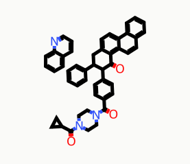 O=C1c2c(ccc3c2ccc2ccccc23)CC(c2ccccc2)C1c1ccc(C(=O)N2CCN(C(=O)C3CC3)CC2)cc1.c1ccc2ncccc2c1